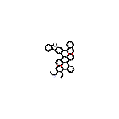 C=Cc1c(/C=C\C)cccc1-c1ccccc1-c1c2ccccc2c(-c2cc3c(cc2-c2cccc4ccccc24)oc2ccccc23)c2ccccc12